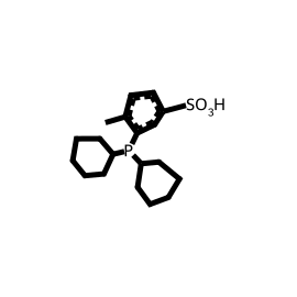 Cc1ccc(S(=O)(=O)O)cc1P(C1CCCCC1)C1CCCCC1